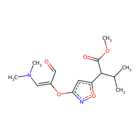 COC(=O)C(c1cc(O/C(C=O)=C/N(C)C)no1)C(C)C